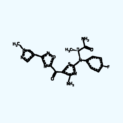 C[C@H](C(N)=O)N(c1ccc(F)cc1)c1nc(N)c(C(=O)c2nc(-c3cnn(C)c3)no2)s1